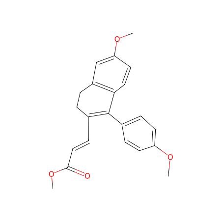 COC(=O)/C=C/C1=C(c2ccc(OC)cc2)c2ccc(OC)cc2CC1